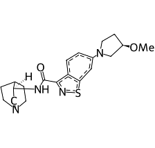 CO[C@@H]1CCN(c2ccc3c(C(=O)N[C@H]4CN5CCC4CC5)nsc3c2)C1